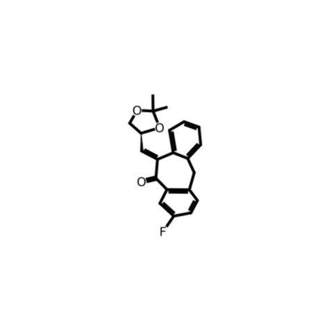 CC1(C)OC[C@H](/C=C2/C(=O)c3cc(F)ccc3Cc3ccccc32)O1